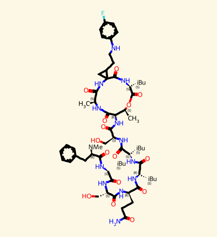 CC[C@H](C)[C@H](NC(=O)[C@@H](Cc1ccccc1)NC)C(=O)N[C@@H](CO)C(=O)N[C@H](CCC(N)=O)C(=O)N[C@@H](C(=O)N[C@H](C(=O)N[C@@H](CO)C(=O)N[C@H]1C(=O)N[C@@H](C)C(=O)NC2(CC2CCNc2ccc(F)cc2)C(=O)N[C@@H]([C@@H](C)CC)C(=O)O[C@H]1C)[C@@H](C)CC)[C@@H](C)CC